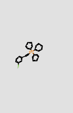 Fc1cccc(C#C[PH](c2ccccc2)(c2ccccc2)c2ccccc2)c1